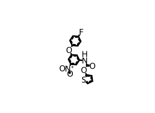 O=C(Nc1cc(Oc2ccc(F)cc2)cc([N+](=O)[O-])c1)Oc1cccs1